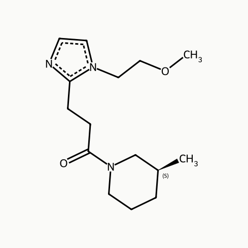 COCCn1ccnc1CCC(=O)N1CCC[C@H](C)C1